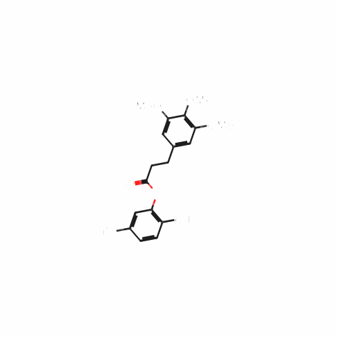 COc1cc(CCC(=O)Oc2cc(C(C)C)ccc2C)cc(OC)c1OC